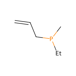 C=CCP(C)CC